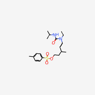 CCN(CCC(C)CCOS(=O)(=O)c1ccc(C)cc1)C(=O)NC(C)C